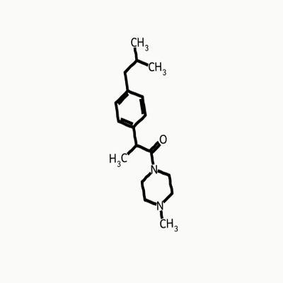 CC(C)Cc1ccc(C(C)C(=O)N2CCN(C)CC2)cc1